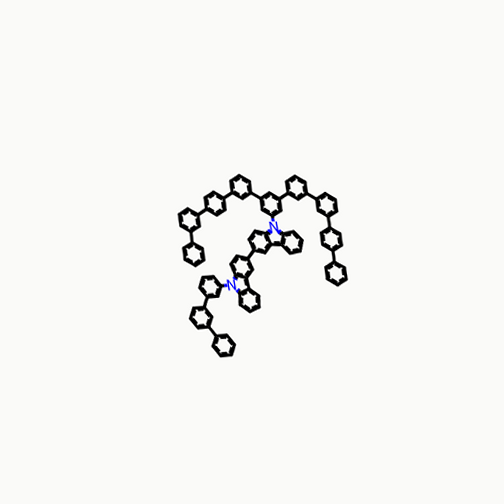 c1ccc(-c2ccc(-c3cccc(-c4cccc(-c5cc(-c6cccc(-c7ccc(-c8cccc(-c9ccccc9)c8)cc7)c6)cc(-n6c7ccccc7c7cc(-c8ccc9c(c8)c8ccccc8n9-c8cccc(-c9cccc(-c%10ccccc%10)c9)c8)ccc76)c5)c4)c3)cc2)cc1